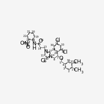 Cc1ccc(COC(C[n+]2ccn(CCC(=O)Nc3ccccc3[N+](=O)[O-])c2)c2ccc(Cl)cc2Cl)cc1C.[Cl-]